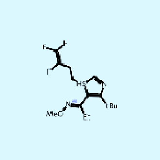 CC/C(=N\OC)C1=C(C(C)(C)C)N=C[SH]1CCC(F)=C(F)F